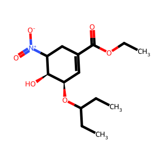 CCOC(=O)C1=C[C@@H](OC(CC)CC)[C@@H](O)C([N+](=O)[O-])C1